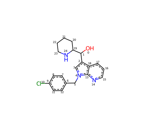 OC(c1cn(Cc2ccc(Cl)cc2)c2ncccc12)C1CCCCN1